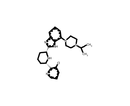 CC(C)N1CCN(c2cccc3nc([C@H]4CCC[C@@H](c5ncccc5Cl)N4)[nH]c23)CC1